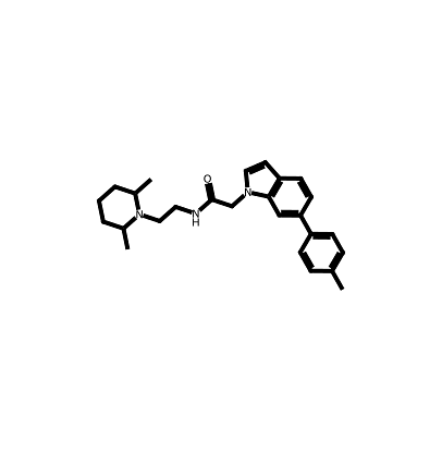 Cc1ccc(-c2ccc3ccn(CC(=O)NCCN4C(C)CCCC4C)c3c2)cc1